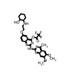 COc1cc2nc(Nc3nc(OC(=O)C(F)(F)F)c4cc(OCCNC5CCCCC5O)ccc4n3)nc(C)c2cc1OC